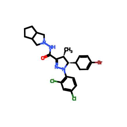 C[C@H]1C(C(=O)NN2CC3CCCC3C2)=NN(c2ccc(Cl)cc2Cl)[C@H]1C1C=CC(Br)=CC1